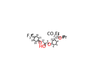 CCOC(=O)C(Cc1cccc(OCC(O)COc2ccc(C(F)(F)F)cc2)c1)OC(C)C